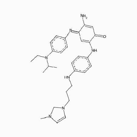 CCN(c1ccc(N=C2C=C(Nc3ccc(NCCCN4C=CN(C)C4)cc3)C(=O)C=C2N)cc1)C(C)C